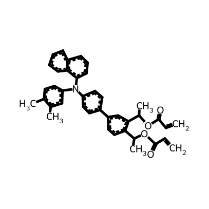 C=CC(=O)OC(C)c1ccc(-c2ccc(N(c3ccc(C)c(C)c3)c3cccc4ccccc34)cc2)cc1C(C)OC(=O)C=C